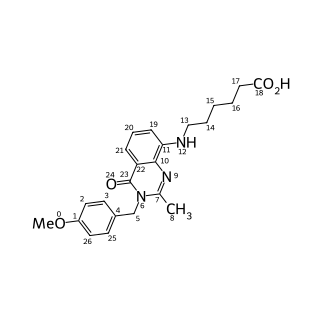 COc1ccc(Cn2c(C)nc3c(NCCCCCC(=O)O)cccc3c2=O)cc1